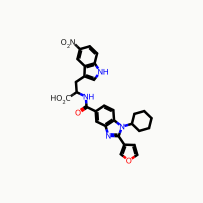 O=C(NC(Cc1c[nH]c2ccc([N+](=O)[O-])cc12)C(=O)O)c1ccc2c(c1)nc(-c1ccoc1)n2C1CCCCC1